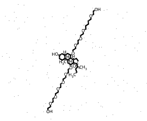 CCC[C@@H](C)[C@H]1CC[C@H]2[C@@H]3[C@H](OCCOCCOCCOCCCCCOCCO)C[C@@H]4C[C@H](O)CC[C@]4(C)[C@H]3C[C@H](OCCOCCOCCOCCOCCOCCO)[C@]12C